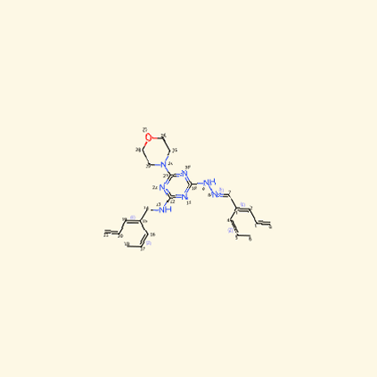 C=C/C=C(\C=C/C)/C=N/Nc1nc(NCC(/C=C\C)=C/C=C)nc(N2CCOCC2)n1